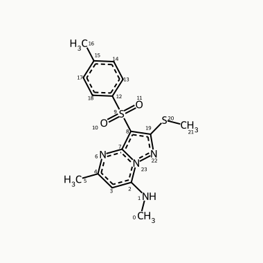 CNc1cc(C)nc2c(S(=O)(=O)c3ccc(C)cc3)c(SC)nn12